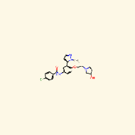 Cn1nccc1-c1cc(NC(=O)c2ccc(Cl)cc2)ccc1OCCN1CCC(O)C1